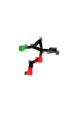 CC1(OC=O)CC1Cl